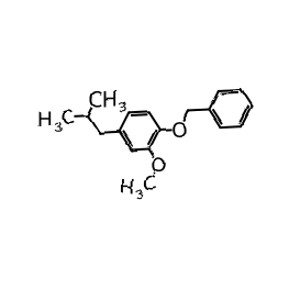 COc1cc(CC(C)C)ccc1OCc1ccccc1